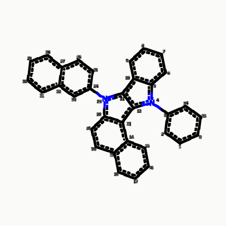 c1ccc(-n2c3ccccc3c3c2c2c4ccccc4ccc2n3-c2ccc3ccccc3c2)cc1